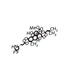 COC(=O)[C@@]12C[C@H](O)C3[C@@]4(C)CC(=O)C(OC(=O)CC[C@@H]5CC(F)(F)CN5)=C(C)C4C[C@H]4OC(=O)[C@H](OC(=O)C=C(C)C)[C@@H]1[C@@]34CO2